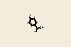 CC([O])c1ccc(I)cc1